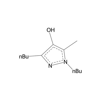 CCCCc1nn(CCCC)c(C)c1O